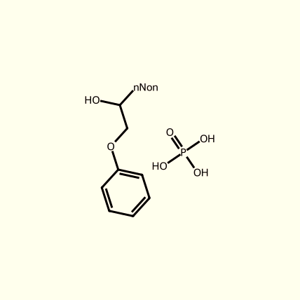 CCCCCCCCCC(O)COc1ccccc1.O=P(O)(O)O